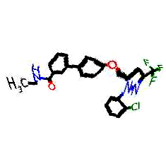 CCNC(=O)c1cccc(-c2ccc(OCc3cc(C(F)(F)F)nn3-c3ccccc3Cl)cc2)c1